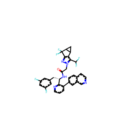 O=C(Cn1nc2c(c1C(F)F)C1CC1C2(F)F)N[C@@H](Cc1cc(F)cc(F)c1)c1ncccc1-c1ccc2ccncc2c1